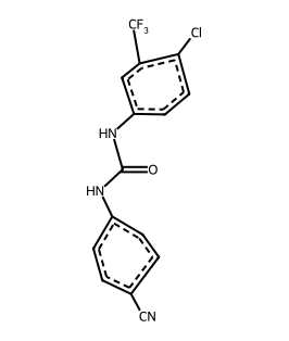 N#Cc1ccc(NC(=O)Nc2ccc(Cl)c(C(F)(F)F)c2)cc1